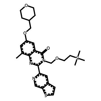 Cc1cc(OCC2CCOCC2)cc2c(=O)n(COCC[Si](C)(C)C)c(-c3cc4ccsc4cn3)nc12